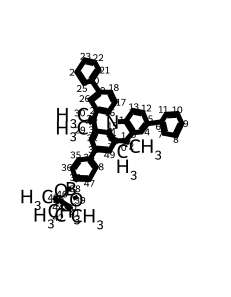 CC1(C)c2cc(-c3ccccc3)ccc2N2c3ccc(-c4ccccc4)cc3C(C)(C)c3cc(-c4ccc(B5OC(C)(C)C(C)(C)O5)cc4)cc1c32